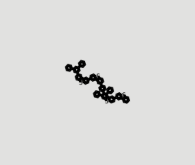 c1ccc(-c2cc(-c3ccccc3)cc(-c3ccc4sc5ccc(-c6ccc7sc8ccc(-c9ccc(-c%10c(-c%11ccccc%11)cc%11sc%12ccc(-c%13ccc%14sc%15ccccc%15c%14c%13)cc%12c%11c%10-c%10ccccc%10)cc9)cc8c7c6)cc5c4c3)c2)cc1